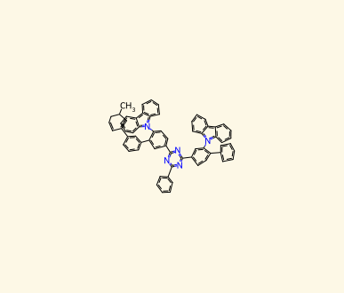 CC1C=C(c2cccc(-c3cc(-c4nc(-c5ccccc5)nc(-c5ccc(-c6ccccc6)c(-n6c7ccccc7c7ccccc76)c5)n4)ccc3-n3c4ccccc4c4ccccc43)c2)C=CC1